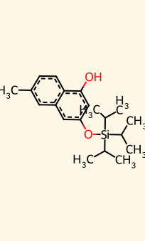 Cc1ccc2c(O)cc(O[Si](C(C)C)(C(C)C)C(C)C)cc2c1